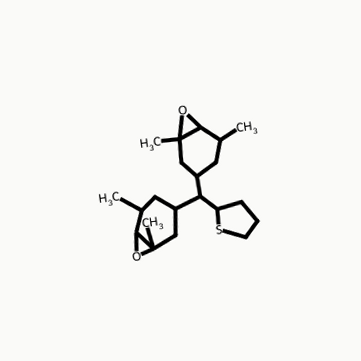 CC1CC(C(C2CC(C)C3OC3(C)C2)C2CCCS2)CC2(C)OC12